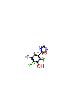 Oc1c(F)c(F)cc(-c2ncno2)c1F